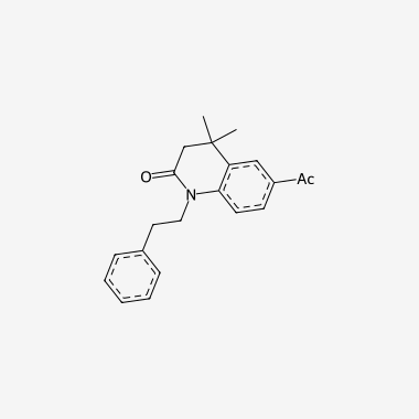 CC(=O)c1ccc2c(c1)C(C)(C)CC(=O)N2CCc1ccccc1